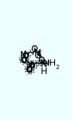 CON(C)C(=O)CCc1cnc2ccccc2c1.NNC(=O)CCc1cnc2ccccc2c1